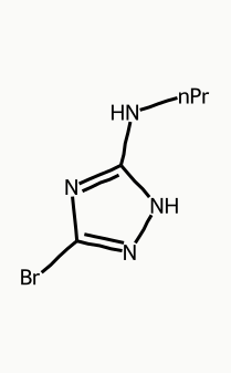 CCCNc1nc(Br)n[nH]1